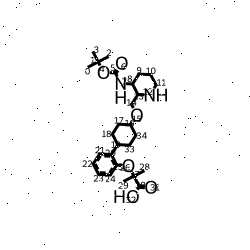 CC(C)(C)OC(=O)NC1CCCNC1COC1CCC(c2ccccc2OC(C)(C)C(=O)O)CC1